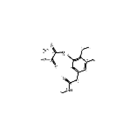 CNC(=O)Oc1cc(C)c(SC)c(C)c1.O=C([O-])C(=O)[O-].[Cu+2]